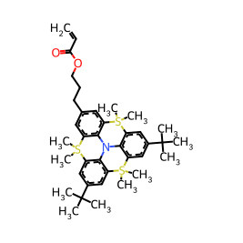 C=CC(=O)OCCCc1cc2c3c(c1)S(C)(C)c1cc(C(C)(C)C)cc4c1N3c1c(cc(C(C)(C)C)cc1S4(C)C)S2(C)C